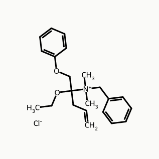 C=CCC(COc1ccccc1)(OCC)[N+](C)(C)Cc1ccccc1.[Cl-]